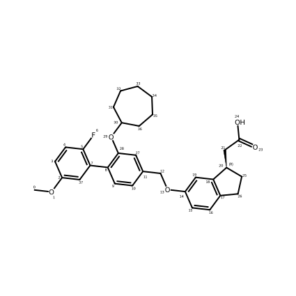 COc1ccc(F)c(-c2ccc(COc3ccc4c(c3)[C@@H](CC(=O)O)CC4)cc2OC2CCCCCC2)c1